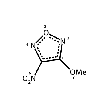 COc1nonc1[N+](=O)[O-]